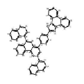 c1ccc2c(-c3cc(-c4ccc(-c5nc6c7ccccc7c7ccccc7c6o5)cc4)c4cc(-c5cccc6ccccc56)c5ccccc5c4n3)cccc2c1